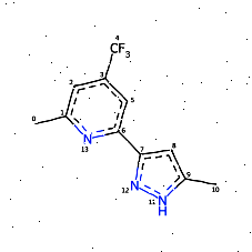 Cc1cc(C(F)(F)F)cc(-c2cc(C)[nH]n2)n1